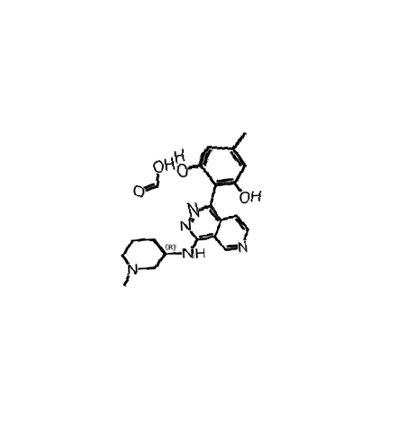 Cc1cc(O)c(-c2nnc(N[C@@H]3CCCN(C)C3)c3cnccc23)c(O)c1.O=CO